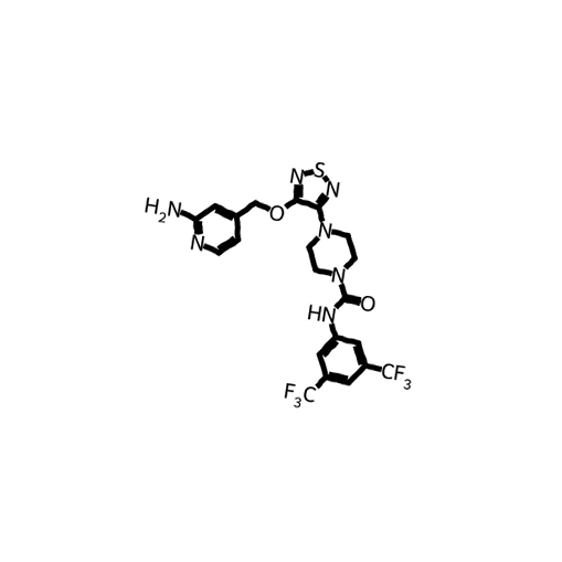 Nc1cc(COc2nsnc2N2CCN(C(=O)Nc3cc(C(F)(F)F)cc(C(F)(F)F)c3)CC2)ccn1